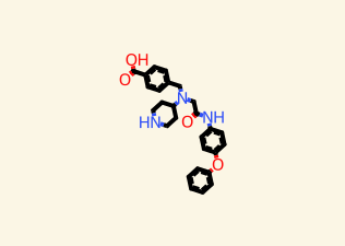 O=C(CN(Cc1ccc(C(=O)O)cc1)C1CCNCC1)Nc1ccc(Oc2ccccc2)cc1